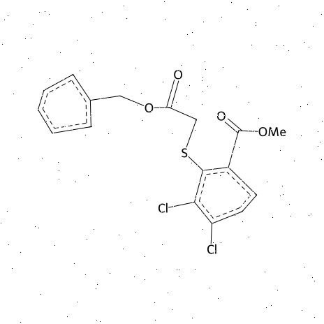 COC(=O)c1ccc(Cl)c(Cl)c1SCC(=O)OCc1ccccc1